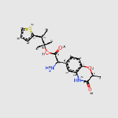 CC1Oc2ccc(C(N)C(=O)OC(C)(C)C(C)c3cccs3)cc2NC1=O